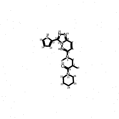 CC(CN(C)c1ccc2nnc(-c3cccs3)n2n1)C(=O)N1CCCCC1